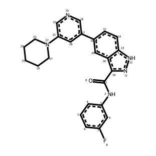 O=C(Nc1cccc(F)c1)c1n[nH]c2ccc(-c3cncc(N4CCCCC4)c3)cc12